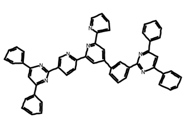 c1ccc(-c2cc(-c3ccccc3)nc(-c3ccc(-c4cc(-c5cccc(-c6nc(-c7ccccc7)cc(-c7ccccc7)n6)c5)cc(-c5ccccn5)n4)nc3)n2)cc1